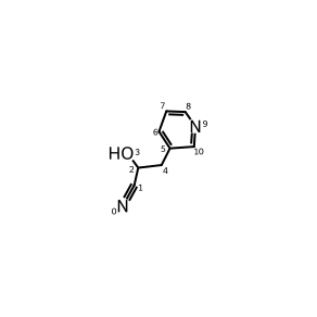 N#CC(O)Cc1cccnc1